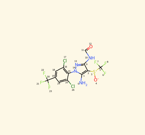 Nc1c([S+]([O-])C(F)(F)F)c(NC=O)nn1-c1c(Cl)cc(C(F)(F)F)cc1Cl